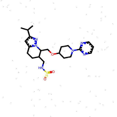 CC(C)c1cc2n(n1)C(COC1CCN(c3ncccn3)CC1)C(CN[SH](=O)=O)CC2